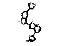 Fc1ccc(-c2ccnc3[nH]c(-c4n[nH]c5ncc(-c6cn[nH]c6)cc45)cc23)s1